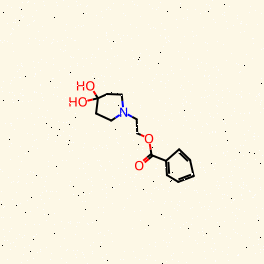 O=C(OCCN1CCC(O)(O)CC1)c1ccccc1